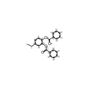 CCc1ccc(OC(=O)c2ccccc2)c(OC(=O)c2ccccc2)c1